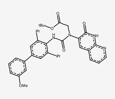 COc1cccc(-c2cc(C(C)C)c(NC(=O)N(CC(=O)OC(C)(C)C)c3cc4cccnc4[nH]c3=O)c(C(C)C)c2)c1